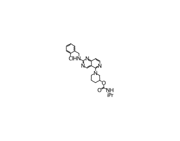 CC(C)NC(=O)OC1CCCN(c2nccc3nc(NCc4ccccc4Cl)ncc23)C1